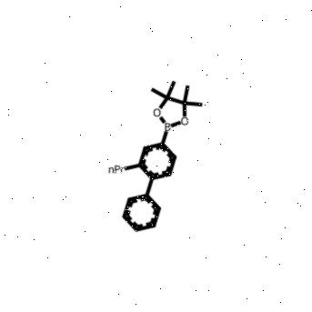 CCCc1cc(B2OC(C)(C)C(C)(C)O2)ccc1-c1ccccc1